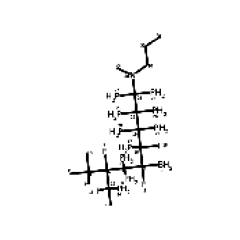 BC(F)(C(P)(P)C(F)(C(C)(C)C)C(C)(P)I)C(P)(I)C(P)(P)C(P)(P)C(P)(P)N(C)CCC